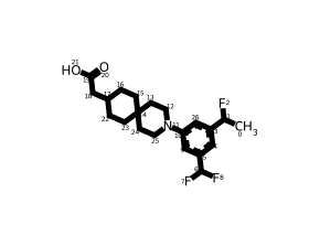 CC(F)c1cc(C(F)F)cc(N2CCC3(CCC(CC(=O)O)CC3)CC2)c1